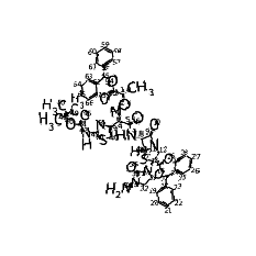 C[C@H](O/N=C(\C(=O)N[C@@H]1C(=O)N2C[C@@](C(=O)OC(c3ccccc3)c3ccccc3)(N3CCN(N)C3=O)S[C@H]12)c1csc(NC(=O)OC(C)(C)C)n1)C(=O)OC(c1ccccc1)c1ccccc1